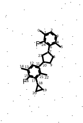 Cc1ccc(C)c(C2CCC(c3cc(C)c(F)c(C4CC4)c3C)C2)c1F